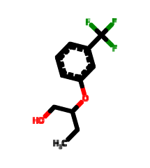 CCC(CO)Oc1cccc(C(F)(F)F)c1